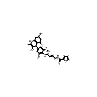 CCCC1CC(=O)C2=C(C1)NC(C)=C(C#N)C2c1cc(Br)c(OCC=CCNC(=O)c2ccco2)c(OCC)c1